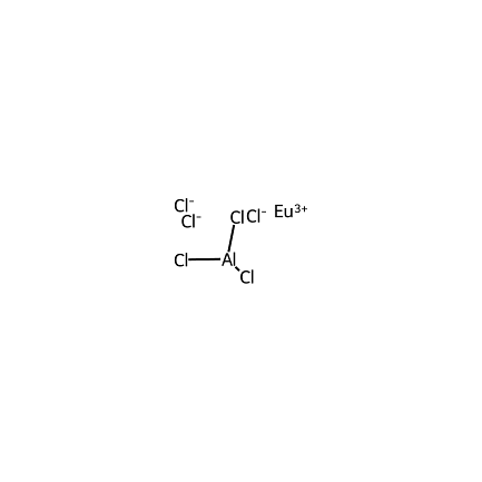 [Cl-].[Cl-].[Cl-].[Cl][Al]([Cl])[Cl].[Eu+3]